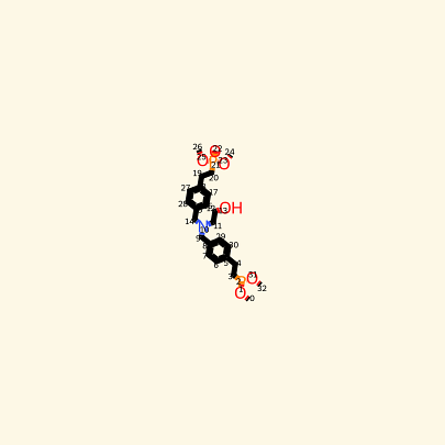 COP(CCc1ccc(CN(CCO)Cc2ccc(CCP(=O)(OC)OC)cc2)cc1)OC